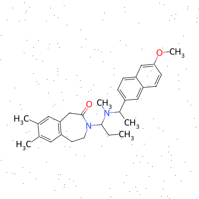 CCC(N1CCc2cc(C)c(C)cc2CC1=O)N(C)C(C)c1ccc2cc(OC)ccc2c1